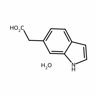 O.O=C(O)Cc1ccc2cc[nH]c2c1